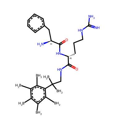 Bc1c(B)c(B)c(C(B)(B)CNC(=O)[C@@H](CCCNC(=N)N)NC(=O)[C@@H](N)Cc2ccccc2)c(B)c1B